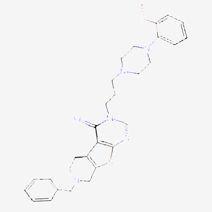 COc1ccccc1N1CCN(CCCn2cnc3sc4c(c3c2=N)CCN(Cc2ccccc2)C4)CC1